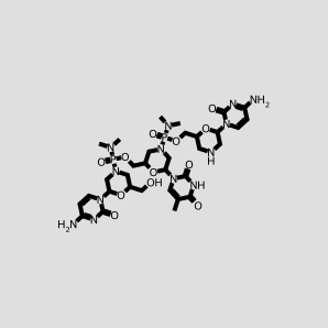 Cc1cn(C2CN(P(=O)(OCC3CNCC(n4ccc(N)nc4=O)O3)N(C)C)CC(COP(=O)(N(C)C)N3CC(CO)OC(n4ccc(N)nc4=O)C3)O2)c(=O)[nH]c1=O